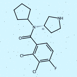 O=C(c1ccc(F)c(Cl)c1Cl)N(C1CCCC1)[C@H]1CCNC1